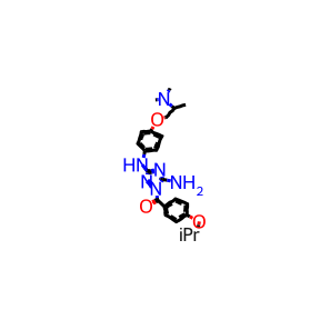 CC(C)Oc1ccc(C(=O)n2nc(Nc3ccc(OCC(C)N(C)C)cc3)nc2N)cc1